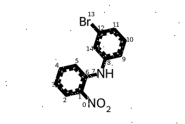 O=[N+]([O-])c1c[c]ccc1Nc1cccc(Br)c1